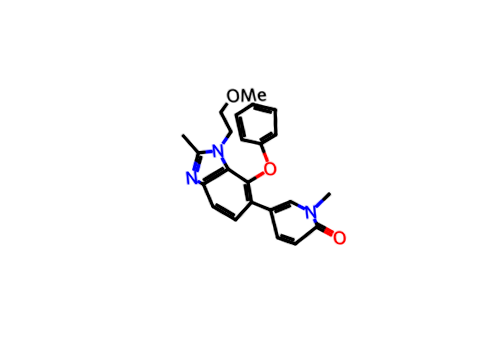 COCCn1c(C)nc2ccc(-c3ccc(=O)n(C)c3)c(Oc3ccccc3)c21